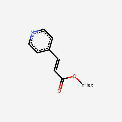 CCCCCCOC(=O)C=Cc1ccncc1